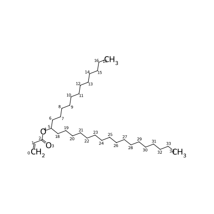 C=CC(=O)OC(CCCCCCCCCCCC)CCCCCCCCCCCCCCCCC